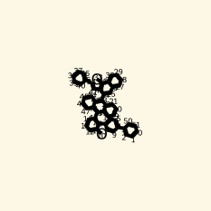 c1ccc(-c2ccc3c(c2)oc2cccc(-c4c5ccccc5c(-c5cc6ccccc6c6oc(-c7ccccc7)cc56)c5ccccc45)c23)cc1